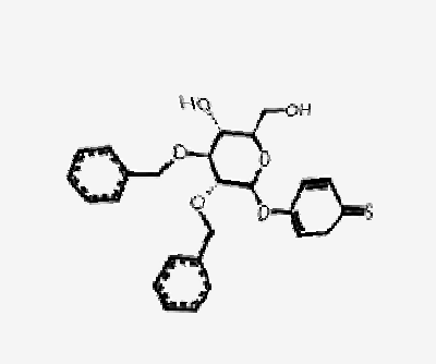 OC[C@H]1O[C@@H](OC2=CCC(=S)C=C2)[C@H](OCc2ccccc2)[C@@H](OCc2ccccc2)[C@@H]1O